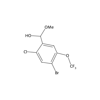 COC(O)c1cc(OC(F)(F)F)c(Br)cc1Cl